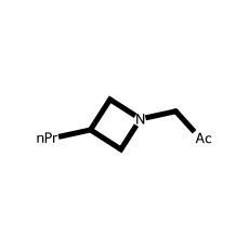 CCCC1CN(CC(C)=O)C1